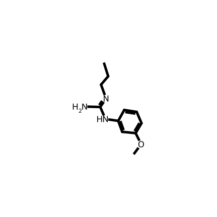 CCCN=C(N)Nc1cccc(OC)c1